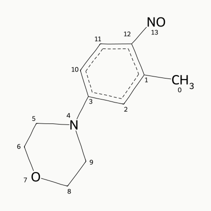 Cc1cc(N2CCOCC2)ccc1N=O